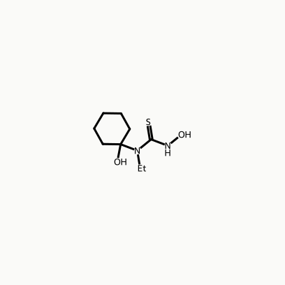 CCN(C(=S)NO)C1(O)CCCCC1